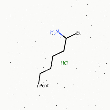 CCCCCCCCCC(N)CC.Cl